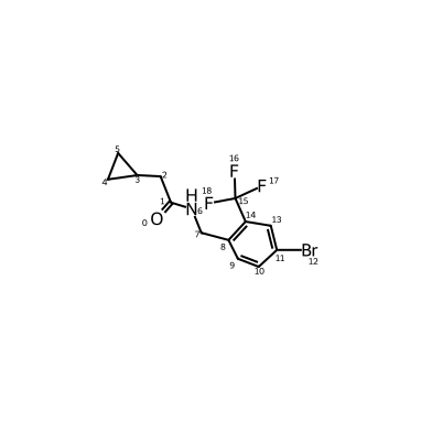 O=C(CC1CC1)NCc1ccc(Br)cc1C(F)(F)F